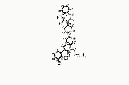 NCCn1c(=O)c(-c2cccc(Cl)c2Cl)cn(CC(=O)N2CCC(N3CCc4ccccc4NC3=O)CC2)c1=O